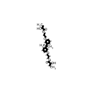 CC=C(O)C(=O)OCCCOc1cccc(C(C)(C)c2cccc(OCCCOC(=O)C(O)=CC)c2)c1